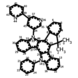 CC1(C)c2ccccc2-c2c1c1c3ccccc3n(-c3ccccc3)c1c1c3ccccc3n(-c3cncc(-c4ccccn4)c3)c21